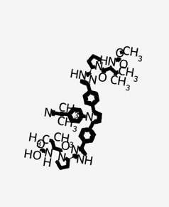 COC(=O)N[C@H](C(=O)N1CCC[C@H]1c1nc(-c2ccc(-c3ccc(-c4ccc(-c5c[nH]c([C@@H]6CCCN6C(=O)[C@@H](NC(=O)O)C(C)C)n5)cc4)n3-c3ccc(C(C)(C)C#N)cc3)cc2)c[nH]1)C(C)C